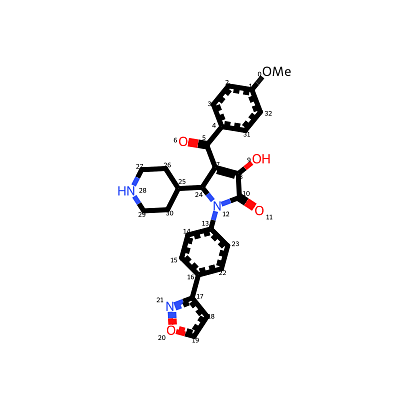 COc1ccc(C(=O)C2=C(O)C(=O)N(c3ccc(-c4ccon4)cc3)C2C2CCNCC2)cc1